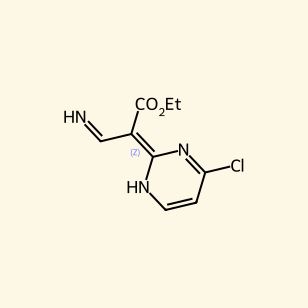 CCOC(=O)/C(C=N)=C1\N=C(Cl)C=CN1